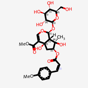 COC(=O)C1=CO[C@@H](O[C@@H]2O[C@H](CO)[C@@H](O)[C@H](O)[C@H]2O)[C@@H]2[C@@](C)(O)[C@@H](OC(=O)/C=C\c3ccc(OC)cc3)C[C@]12O